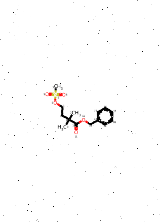 CC(C)(CCOS(C)(=O)=O)C(=O)OCc1ccccc1